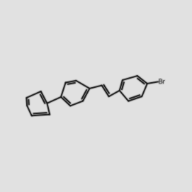 Brc1ccc(C=Cc2ccc(-c3ccccc3)cc2)cc1